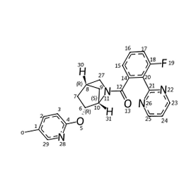 Cc1ccc(O[C@@H]2C[C@H]3C[C@@H]2N(C(=O)c2cccc(F)c2-c2ncccn2)C3)nc1